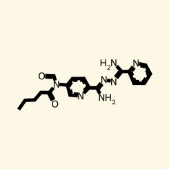 CCCCC(=O)N(C=O)c1ccc(/C(N)=N/N=C(\N)c2ccccn2)nc1